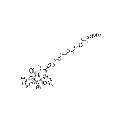 COCCOCCOCCOCCOCCN1C(=O)C(C)(C)N(Br)C1(C)C